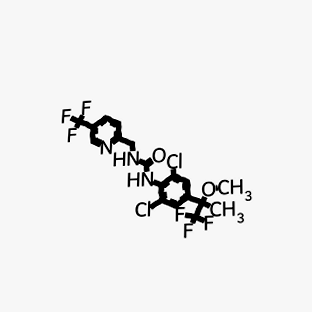 COC(C)(c1cc(Cl)c(NC(=O)NCc2ccc(C(F)(F)F)cn2)c(Cl)c1)C(F)(F)F